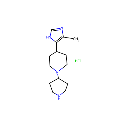 Cc1nc[nH]c1C1CCN(C2CCNCC2)CC1.Cl